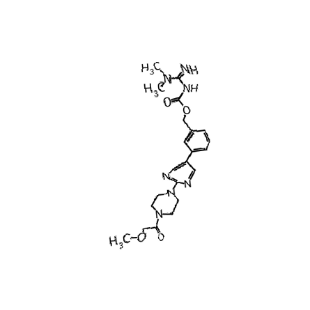 COCC(=O)N1CCN(c2ncc(-c3cccc(COC(=O)NC(=N)N(C)C)c3)cn2)CC1